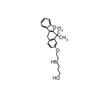 CC1(C)c2cc(OCCNCCCO)ccc2Cc2c1oc1ccccc21